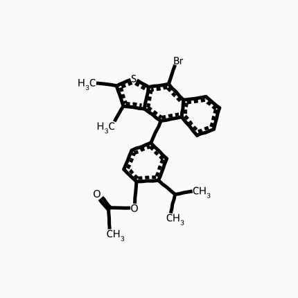 CC(=O)Oc1ccc(-c2c3ccccc3c(Br)c3sc(C)c(C)c23)cc1C(C)C